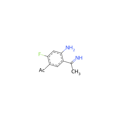 CC(=N)c1cc(C(C)=O)c(F)cc1N